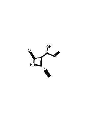 C#C[C@@H]1NC(=O)[C@H]1[C@H](O)C=C